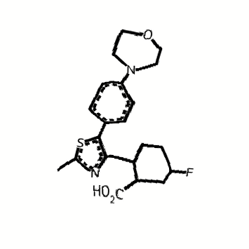 Cc1nc(C2CCC(F)CC2C(=O)O)c(-c2ccc(N3CCOCC3)cc2)s1